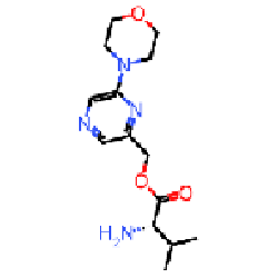 CC(C)[C@H](N)C(=O)OCc1cncc(N2CCOCC2)n1